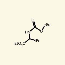 CCOC(=O)C(NC(=O)OC(C)(C)C)C(C)C